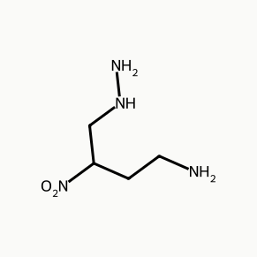 NCCC(CNN)[N+](=O)[O-]